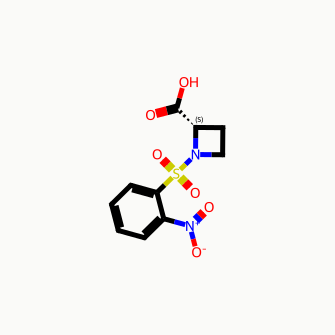 O=C(O)[C@@H]1CCN1S(=O)(=O)c1ccccc1[N+](=O)[O-]